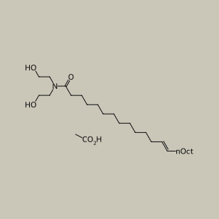 CC(=O)O.CCCCCCCCC=CCCCCCCCCCCCC(=O)N(CCO)CCO